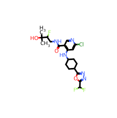 CC(C)(O)C(F)CNC(=O)c1cnc(Cl)cc1NC1CCC(c2nnc(C(F)F)o2)CC1